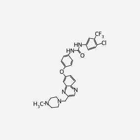 CN1CCN(Cc2cnc3ccc(Oc4ccc(NC(=O)Nc5ccc(Cl)c(C(F)(F)F)c5)cc4)cc3n2)CC1